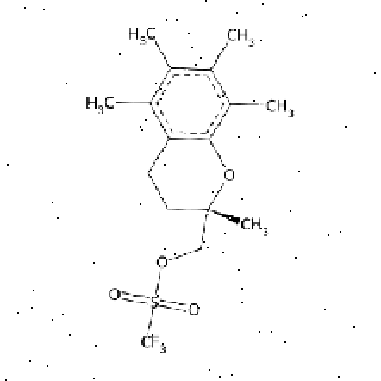 Cc1c(C)c(C)c2c(c1C)CC[C@@](C)(COS(=O)(=O)C(F)(F)F)O2